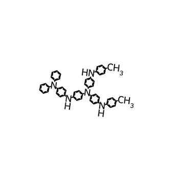 Cc1ccc(Nc2ccc(N(c3ccc(Nc4ccc(C)cc4)cc3)c3ccc(Nc4ccc(N(c5ccccc5)c5ccccc5)cc4)cc3)cc2)cc1